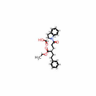 CCOC(=O)[C@@H](CCC(=O)N1c2ccccc2C[C@H]1C(=O)O)CCc1ccccc1